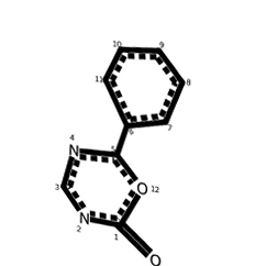 O=c1ncnc(-c2ccccc2)o1